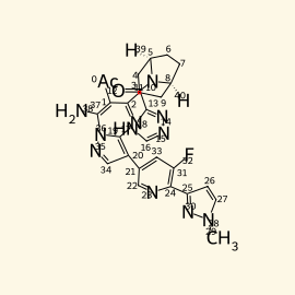 CC(=O)c1c(C2C[C@H]3CC[C@@H](C2)N3C(=O)c2nnc[nH]2)nc2c(-c3cnc(-c4ccn(C)n4)c(F)c3)cnn2c1N